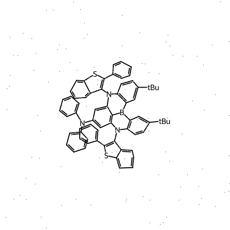 CC(C)(C)c1ccc2c(c1)B1c3cc(C(C)(C)C)ccc3N(c3c(-c4ccccc4)sc4ccccc34)c3cc(N(c4ccccc4)c4ccccc4)cc(c31)N2c1c(-c2ccccc2)sc2ccccc12